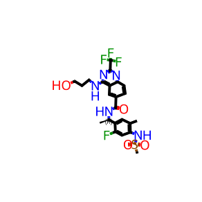 Cc1cc([C@@H](C)NC(=O)c2ccc3nc(C(F)(F)F)nc(NCCCO)c3c2)c(F)cc1NS(C)(=O)=O